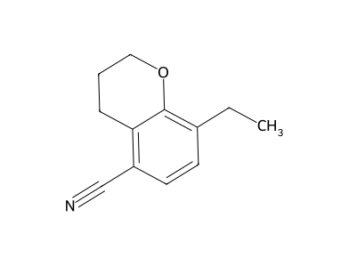 CCc1ccc(C#N)c2c1OCCC2